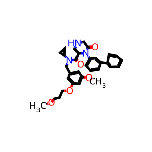 COCCCOc1cc(CN(C(=O)C2CNCC(=O)N2c2cccc(-c3ccccc3)c2)C2CC2)cc(OC)c1